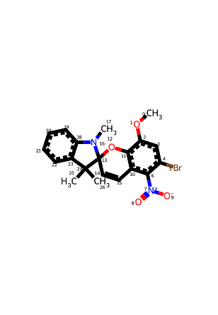 COc1cc(Br)c([N+](=O)[O-])c2c1OC1(C=C2)N(C)c2ccccc2C1(C)C